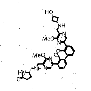 COc1nc(-c2cccc(-c3cccc(-c4cnc(CN[C@H]5C[C@@H](O)C5)c(OC)n4)c3Cl)c2Cl)cnc1CNC[C@@H]1CCC(=O)N1